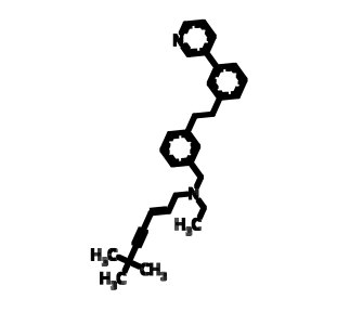 CCN(CC=CC#CC(C)(C)C)Cc1cccc(CCc2cccc(-c3cccnc3)c2)c1